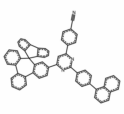 N#Cc1ccc(-c2cc(-c3ccc4c(c3)C3(c5ccccc5-c5ccccc5-4)c4ccccc4-c4ccccc43)nc(-c3ccc(-c4cccc5ccccc45)cc3)n2)cc1